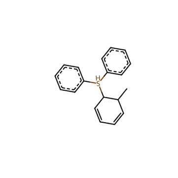 CC1C=CC=CC1[SH](c1ccccc1)c1ccccc1